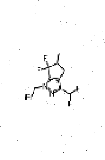 CC(C)Cn1nc(C(F)F)c2c1C(F)(F)C(C)C2